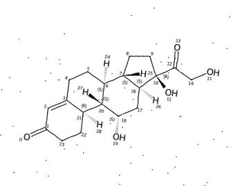 O=C1C=C2CC[C@H]3[C@@H]4CC[C@](O)(C(=O)CO)[C@H]4C[C@H](O)[C@@H]3[C@H]2CC1